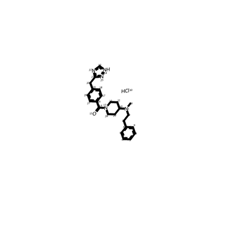 CN(CCc1ccccc1)C1CCN(C(=O)c2ccc(Cc3nc[nH]n3)cc2)CC1.Cl